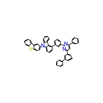 c1ccc(-c2cccc(-c3cc(-c4ccccc4)nc(-c4cccc(-c5cccc6c5c5ccccc5n6-c5ccc6sc7ccccc7c6c5)c4)n3)c2)cc1